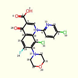 O=C(O)c1cn(-c2ccc(Cl)cn2)c2c(Cl)c(N3CCOCC3)c(F)cc2c1=O